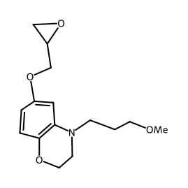 COCCCN1CCOc2ccc(OCC3CO3)cc21